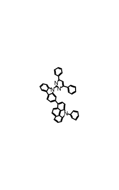 c1ccc(-c2cc(-c3ccccc3)nc(-n3c4ccccc4c4ccc(-c5ccc6c7c5ccc5cccc(c57)n6-c5ccccc5)cc43)n2)cc1